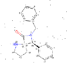 O=C1N(Cc2ccccc2)[C@@H](c2ccccc2)[C@]12CCCN2